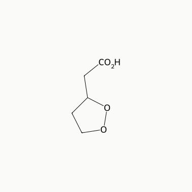 O=C(O)CC1CCOO1